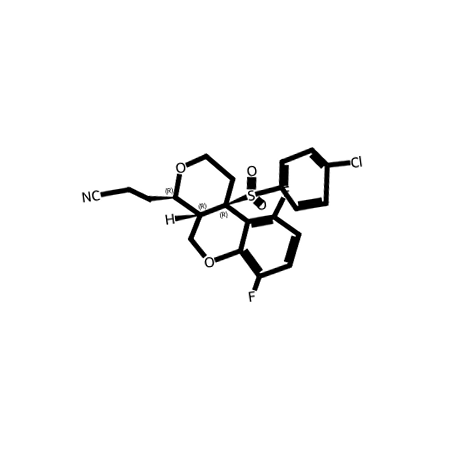 N#CCC[C@H]1OCC[C@]2(S(=O)(=O)c3ccc(Cl)cc3)c3c(F)ccc(F)c3OC[C@H]12